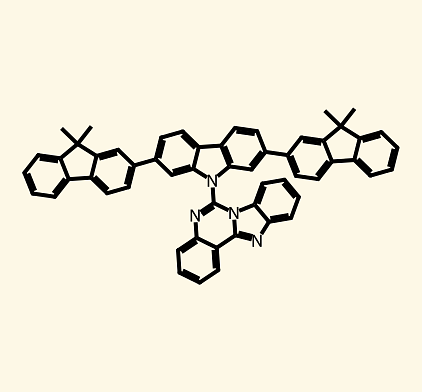 CC1(C)c2ccccc2-c2ccc(-c3ccc4c5ccc(-c6ccc7c(c6)C(C)(C)c6ccccc6-7)cc5n(-c5nc6ccccc6c6nc7ccccc7n56)c4c3)cc21